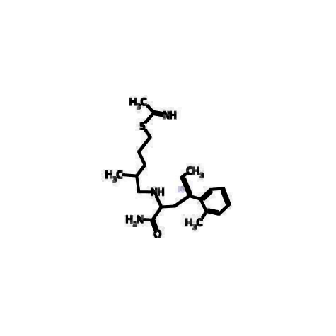 C/C=C(/CC(NCC(C)CCCSC(C)=N)C(N)=O)c1ccccc1C